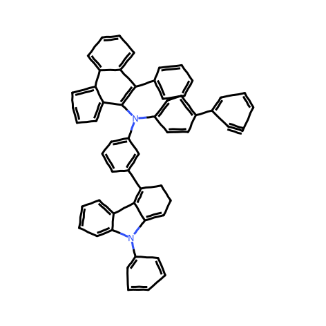 c1cccc(-c2ccc(N(c3cccc(C4=c5c(n(-c6ccccc6)c6ccccc56)=CCC4)c3)c3c(-c4ccccc4)c4ccccc4c4ccccc34)cc2)c#1